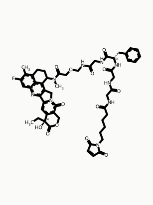 CC[C@@]1(O)C(=O)OCc2c1cc1n(c2=O)Cc2c-1nc1cc(F)c(C)c3c1c2C(N(C)C(=O)COCNC(=O)CNC(=O)[C@H](Cc1ccccc1)NC(=O)CNC(=O)CNC(=O)CCCCCN1C(=O)C=CC1=O)CC3